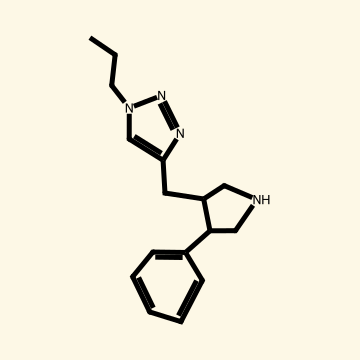 CCCn1cc(CC2CNCC2c2ccccc2)nn1